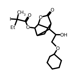 CCC(C)(I)C(=O)OC1C2CC3C1OC(=O)C3C2C(O)COC1CCCCC1